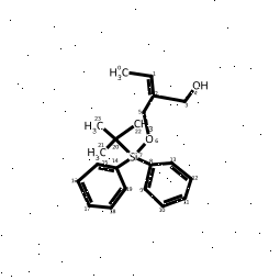 C/C=C(/CO)CO[Si](c1ccccc1)(c1ccccc1)C(C)(C)C